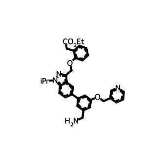 CCOC(=O)Cc1ccccc1OCc1nn(C(C)C)c2ccc(-c3cc(CN)cc(OCc4cccnc4)c3)cc12